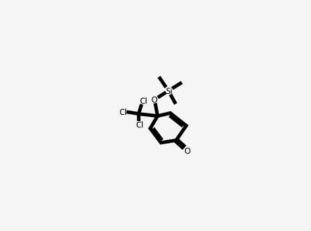 C[Si](C)(C)OC1(C(Cl)(Cl)Cl)C=CC(=O)C=C1